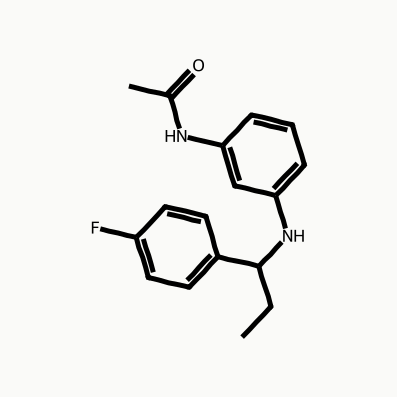 CCC(Nc1cccc(NC(C)=O)c1)c1ccc(F)cc1